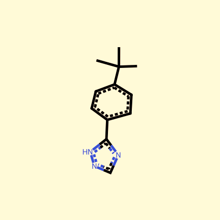 CC(C)(C)c1ccc(-c2ncn[nH]2)cc1